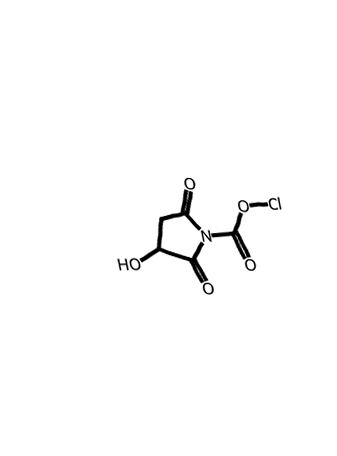 O=C1CC(O)C(=O)N1C(=O)OCl